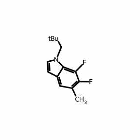 Cc1cc2ccn(CC(C)(C)C)c2c(F)c1F